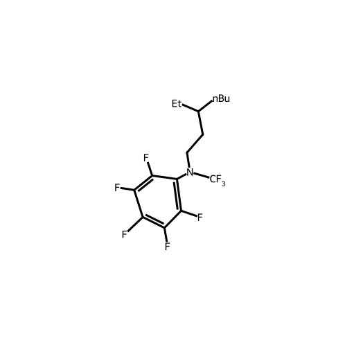 CCCCC(CC)CCN(c1c(F)c(F)c(F)c(F)c1F)C(F)(F)F